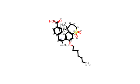 CCCCCCCOc1cc2c(cc1/C(C)=C\c1ccc(C(=O)O)cc1)C(C)(C)CCCS2(=O)=O